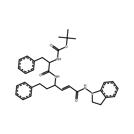 CC(C)(C)OC(=O)NC(Cc1ccccc1)C(=O)NC(C=CC(=O)NN1CCc2ccccc21)CCc1ccccc1